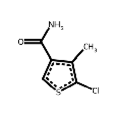 Cc1c(C(N)=O)csc1Cl